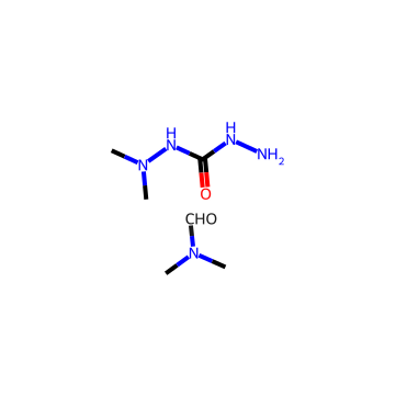 CN(C)C=O.CN(C)NC(=O)NN